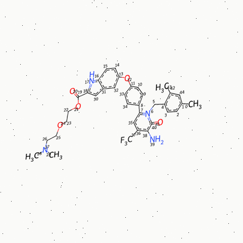 Cc1ccc(Cn2c(-c3ccc(Oc4ccc5[nH]c(C(=O)OCCOCCN(C)C)cc5c4)cc3)cc(C(F)(F)F)c(N)c2=O)c(C)c1